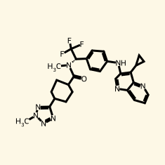 CN(C(=O)C1CCC(c2nnn(C)n2)CC1)[C@@H](c1ccc(Nc2cnc3cccnc3c2C2CC2)cc1)C(F)(F)F